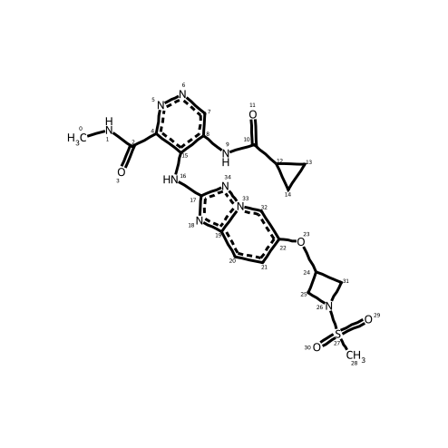 CNC(=O)c1nncc(NC(=O)C2CC2)c1Nc1nc2ccc(OC3CN(S(C)(=O)=O)C3)cn2n1